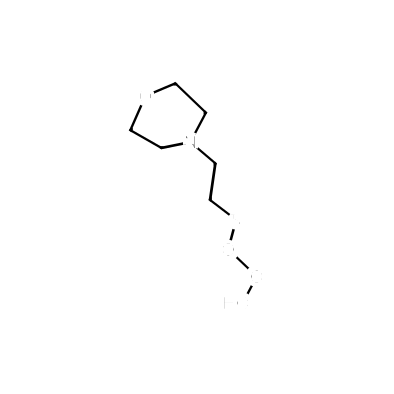 OOOSCCN1CCOCC1